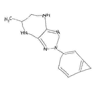 CC1CNc2nn(-c3ccc4c(c3)C4)nc2N1